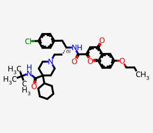 CCCOc1ccc2oc(C(=O)N[C@H](CCN3CCC(C(=O)NC(C)(C)C)(C4CCCCC4)CC3)Cc3ccc(Cl)cc3)cc(=O)c2c1